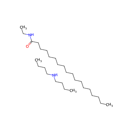 CCCCCCCCCCCCCCCCCC(=O)NCC.CCCCNCCCC